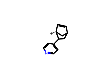 C1=C[C@H]2CC1CC2c1ccncc1